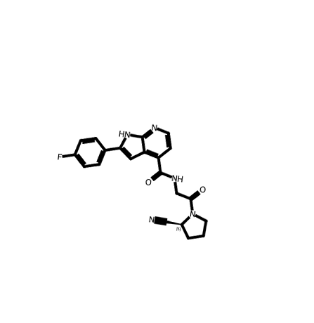 N#C[C@@H]1CCCN1C(=O)CNC(=O)c1ccnc2[nH]c(-c3ccc(F)cc3)cc12